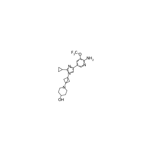 Nc1ncc(-c2cn(C34CC(N5CCC(O)CC5)(C3)C4)c(C3CC3)n2)cc1OC(F)(F)F